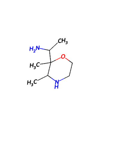 CC(N)C1(C)OCCNC1C